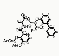 CCC(CC)[C@@H](Oc1cccc(-c2ccccc2)c1)[C@H](C)OC(=O)[C@H](C)NC(=O)c1nccc(OC)c1OCOC(C)=O